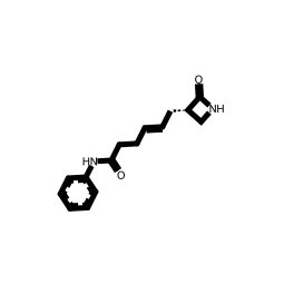 O=C(CC/C=C/C[C@H]1CNC1=O)Nc1ccccc1